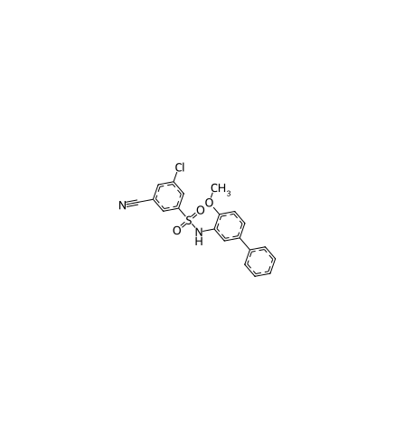 COc1ccc(-c2ccccc2)cc1NS(=O)(=O)c1cc(Cl)cc(C#N)c1